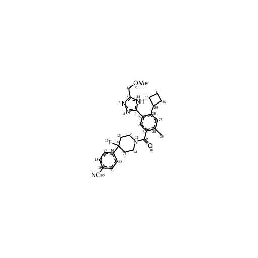 COCc1nnc(-c2cc(C(=O)N3CCC(F)(c4ccc(C#N)cc4)CC3)c(C)cc2C2CCC2)[nH]1